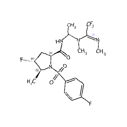 C/N=C(\N(C)C(C)NC(=O)[C@@H]1C[C@@H](F)[C@H](C)N1S(=O)(=O)c1ccc(F)cc1)C(F)(F)F